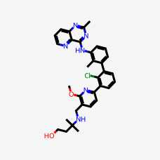 COc1nc(-c2cccc(-c3cccc(Nc4nc(C)nc5cccnc45)c3C)c2Cl)ccc1CNC(C)(C)CCO